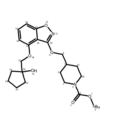 CCCCOC(=O)N1CCC(COc2noc3cccc(OCC4(O)CCCC4)c23)CC1